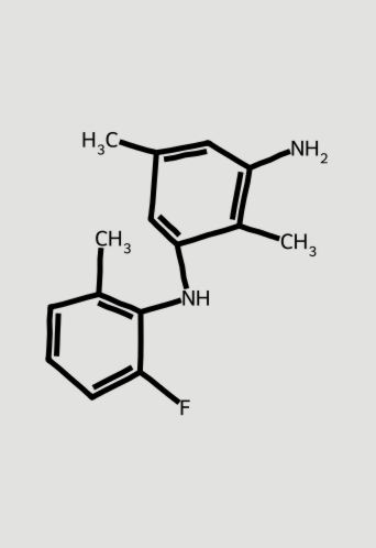 Cc1cc(N)c(C)c(Nc2c(C)cccc2F)c1